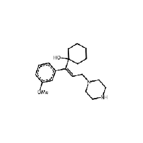 COc1cccc(C(=CCN2CCNCC2)C2(O)CCCCC2)c1